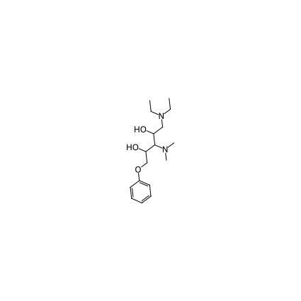 CCN(CC)CC(O)C(C(O)COc1ccccc1)N(C)C